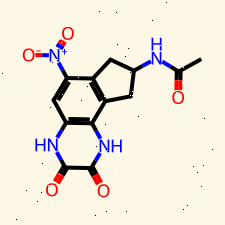 CC(=O)NC1Cc2c([N+](=O)[O-])cc3[nH]c(=O)c(=O)[nH]c3c2C1